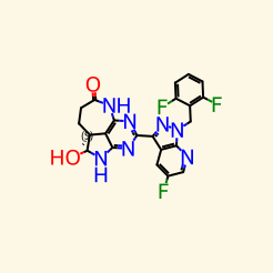 C[C@]12CCC(=O)Nc3nc(-c4nn(Cc5c(F)cccc5F)c5ncc(F)cc45)nc(c31)NC2O